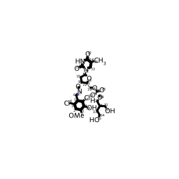 COc1cc(Cl)c(/C=N/O[C@@H]2C[C@H](n3cc(C)c(=O)[nH]c3=O)O[C@@H]2COP(=O)(O)OCC(CO)CCO)c(Cl)c1O